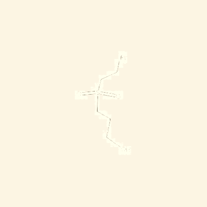 CC(C)CCS(=O)(=O)CCCO